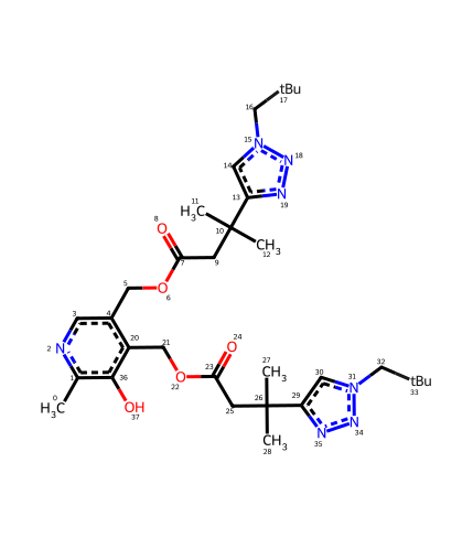 Cc1ncc(COC(=O)CC(C)(C)c2cn(CC(C)(C)C)nn2)c(COC(=O)CC(C)(C)c2cn(CC(C)(C)C)nn2)c1O